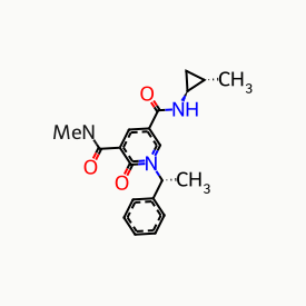 CNC(=O)c1cc(C(=O)N[C@H]2C[C@@H]2C)cn([C@H](C)c2ccccc2)c1=O